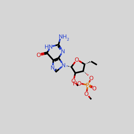 CC[C@H]1O[C@@H](n2cnc3c(=O)[nH]c(N)nc32)C(OC)[C@H]1OP(=O)(O)OC